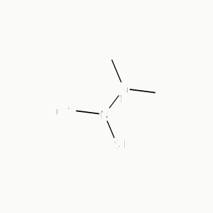 CCCN([SiH3])[SiH](C)C